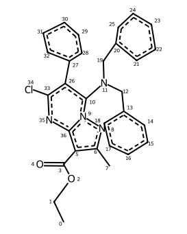 CCOC(=O)c1c(C)nn2c(N(Cc3ccccc3)Cc3ccccc3)c(-c3ccccc3)c(Cl)nc12